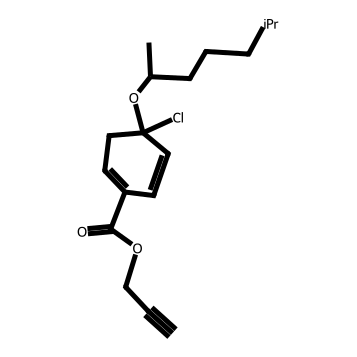 C#CCOC(=O)C1=CCC(Cl)(OC(C)CCCC(C)C)C=C1